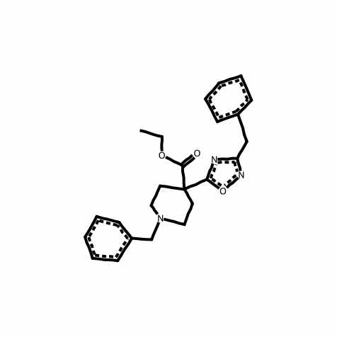 CCOC(=O)C1(c2nc(Cc3ccccc3)no2)CCN(Cc2ccccc2)CC1